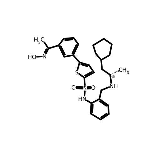 CC(=NO)c1cccc(-c2ccc(S(=O)(=O)Nc3ccccc3CN[C@@H](C)CC3CCCCC3)s2)c1